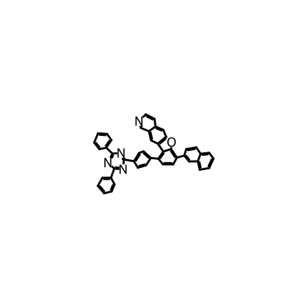 c1ccc(-c2nc(-c3ccccc3)nc(-c3ccc(-c4ccc(-c5ccc6ccccc6c5)c5oc6cc7ccncc7cc6c45)cc3)n2)cc1